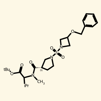 CC(C)C(C(=O)OC(C)(C)C)N(C)C(=O)[C@H]1CCN(S(=O)(=O)N2CC(OCc3ccccc3)C2)C1